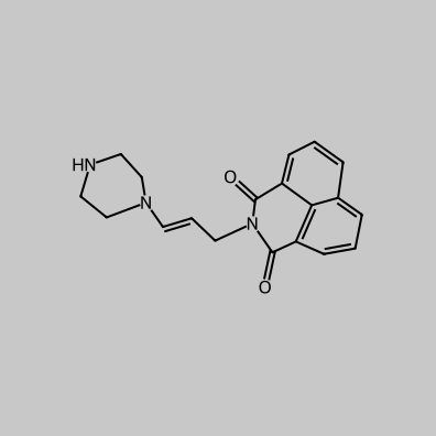 O=C1c2cccc3cccc(c23)C(=O)N1CC=CN1CCNCC1